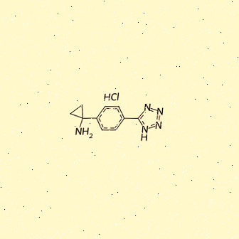 Cl.NC1(c2ccc(-c3nnn[nH]3)cc2)CC1